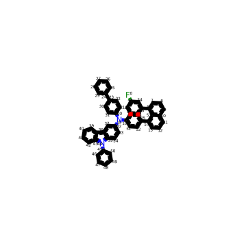 Fc1cccc(-c2cccc3cccc(-c4ccc(N(c5ccc(-c6ccccc6)cc5)c5ccc6c(c5)c5ccccc5n6-c5ccccc5)cc4)c23)c1